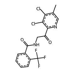 Cc1cnc(C(=O)CNC(=O)c2ccccc2C(F)(F)F)c(Cl)c1Cl